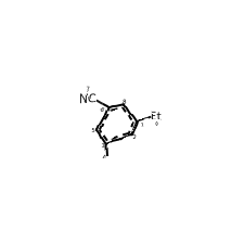 CCc1cc(C)cc(C#N)c1